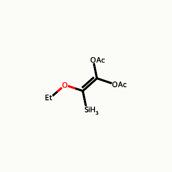 CCOC([SiH3])=C(OC(C)=O)OC(C)=O